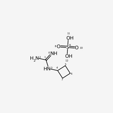 N=C(N)NC1CCC1.O=S(=O)(O)O